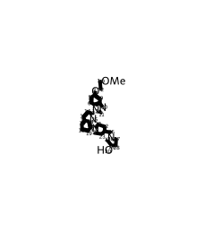 COCCOc1ccc2c(c1)ncn2-c1ccc2cccc(N3CCC(CN4CCC(O)C4)CC3)c2n1